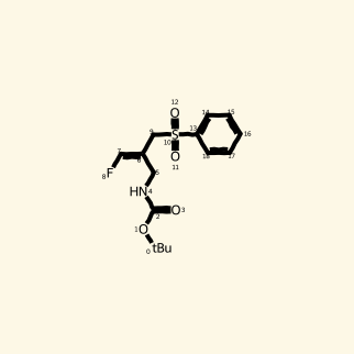 CC(C)(C)OC(=O)NC/C(=C\F)CS(=O)(=O)c1ccccc1